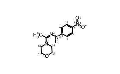 CC(=NNc1ccc([N+](=O)[O-])cc1)N1CCOCC1